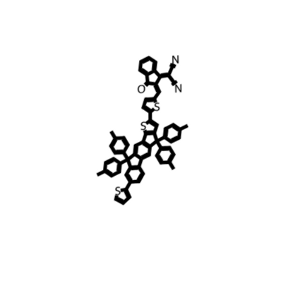 Cc1ccc(C2(c3ccc(C)cc3)c3cc(-c4cccs4)ccc3-c3cc4c(cc32)-c2sc(-c3ccc(/C=C5\C(=O)c6ccccc6C5=C(C#N)C#N)s3)cc2C4(c2ccc(C)cc2)c2ccc(C)cc2)cc1